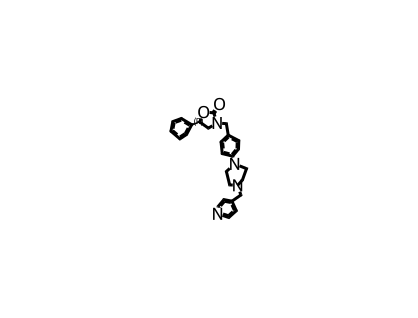 O=C1O[C@H](c2ccccc2)CN1Cc1ccc(N2CCN(Cc3ccncc3)CC2)cc1